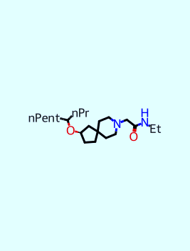 CCCCCC(CCC)O[C@@H]1CCC2(CCN(CC(=O)NCC)CC2)C1